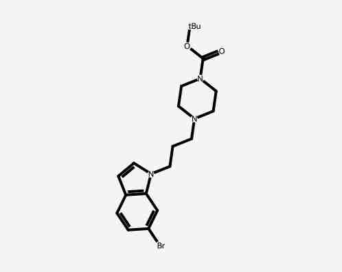 CC(C)(C)OC(=O)N1CCN(CCCn2ccc3ccc(Br)cc32)CC1